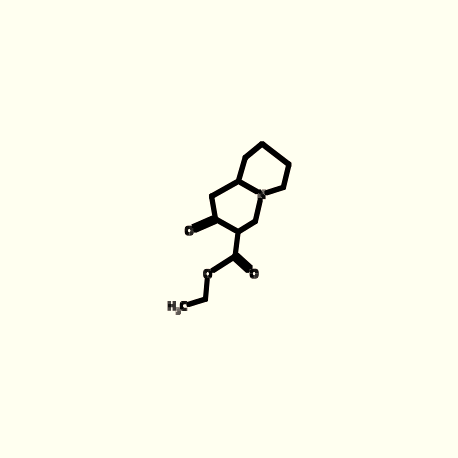 CCOC(=O)C1CN2CCCCC2CC1=O